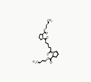 C=CCCOC(=O)C1CCCN1C(=O)CCCCC(=O)N1CCCC1C(=O)OCCC=C